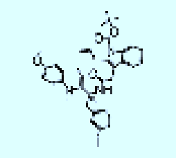 C=CCc1c(CC(=O)N[C@@H](Cc2cccc(I)c2)C(=CC)N(C)c2ccc(OC)cc2)c2ccccc2n1C(=O)OC(C)(C)C